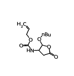 C=CCOC(=O)NC1CC(=O)OC1OCCCC